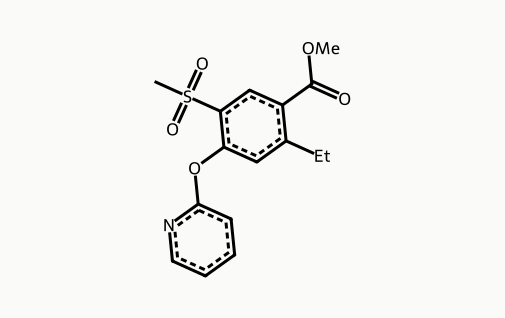 CCc1cc(Oc2ccccn2)c(S(C)(=O)=O)cc1C(=O)OC